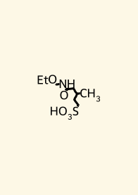 CCOCNC(=O)CC(C)CCS(=O)(=O)O